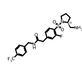 NC[C@@H]1CCCN1S(=O)(=O)c1ccc(CC(=O)NCc2ccc(C(F)(F)F)cc2)cc1F